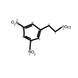 CCCCCCCCCCc1cc([N+](=O)[O-])cc([N+](=O)[O-])c1